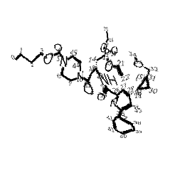 CCCCOC(=O)N1CCN(C(=O)[C@H](CP(=O)(OCC)OCC)NC(=O)c2cc([C@H]3C[C@@H]3COC)cc(-c3ccccc3)n2)CC1